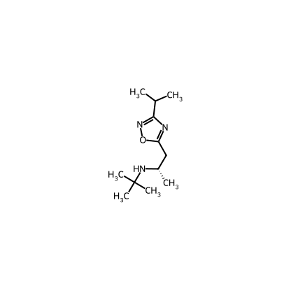 CC(C)c1noc(C[C@H](C)NC(C)(C)C)n1